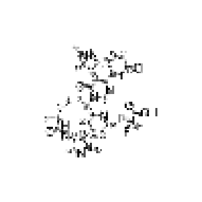 C[C@@H]1CCC[C@H](n2cnc(-c3cc(Cl)ccc3-c3ccn(C)n3)cc2=O)c2cc(ccn2)-c2c(cnn2C)NC1=O.O=C(O)C(F)(F)F